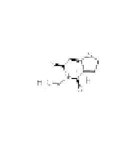 CCN1C(=S)C=C2SCC[C@H]2C1=S